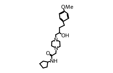 COc1ccc(CCC(O)CN2CCN(CC(=O)NC3CCCC3)CC2)cc1